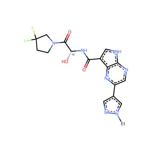 CCn1cc(-c2cnc3[nH]cc(C(=O)N[C@H](O)C(=O)N4CCC(F)(F)C4)c3n2)cn1